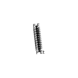 CCC(F)C(F)(F)C(F)(F)C(F)(F)C(F)(F)C(F)(F)C(F)(F)C(F)(F)C(F)(F)C(F)(F)C(F)(F)[C](F)F